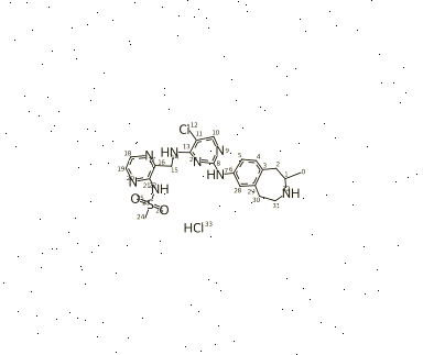 CC1Cc2ccc(Nc3ncc(Cl)c(NCc4nccnc4NS(C)(=O)=O)n3)cc2CCN1.Cl